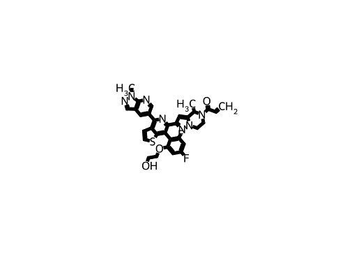 C=CC(=O)N1CCn2nc(-c3nc(-c4cnc5c(cnn5C)c4)c4ccsc4c3-c3c(F)cc(F)cc3OCCO)cc2C1C